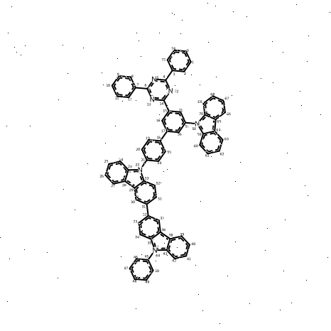 c1ccc(-c2nc(-c3ccccc3)nc(-c3cc(-c4ccc(-n5c6ccccc6c6cc(-c7ccc8c(c7)c7ccccc7n8-c7ccccc7)ccc65)cc4)cc(-n4c5ccccc5c5ccccc54)c3)n2)cc1